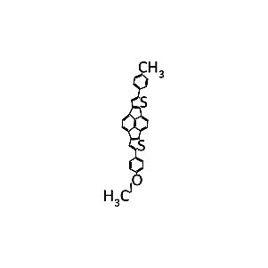 CCCOc1ccc(-c2cc3c(s2)-c2ccc4c5c(ccc-3c25)-c2cc(-c3ccc(C)cc3)sc2-4)cc1